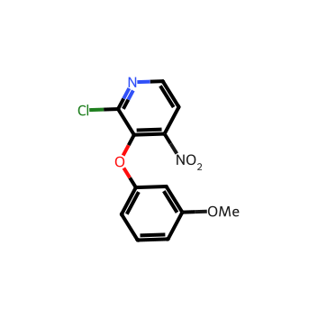 COc1cccc(Oc2c([N+](=O)[O-])ccnc2Cl)c1